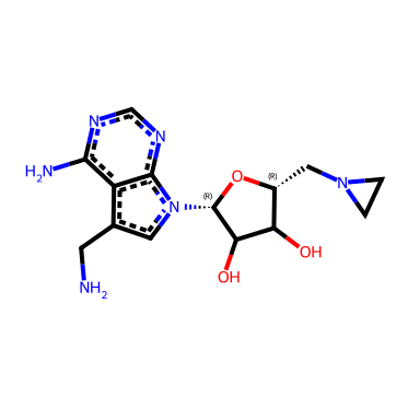 NCc1cn([C@@H]2O[C@H](CN3CC3)C(O)C2O)c2ncnc(N)c12